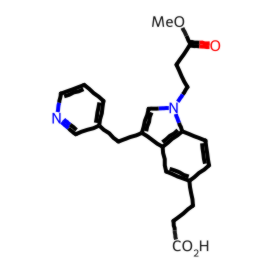 COC(=O)CCn1cc(Cc2cccnc2)c2cc(CCC(=O)O)ccc21